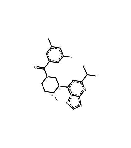 Cc1cc(C(=O)N2CC[C@@H](C)[C@H](c3cc(C(F)F)nc4ncnn34)C2)cc(C)n1